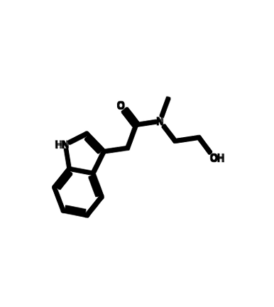 CN(CCO)C(=O)Cc1c[nH]c2ccccc12